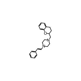 C(=CN1CCN(CC2CCc3ccccc3O2)CC1)c1ccccc1